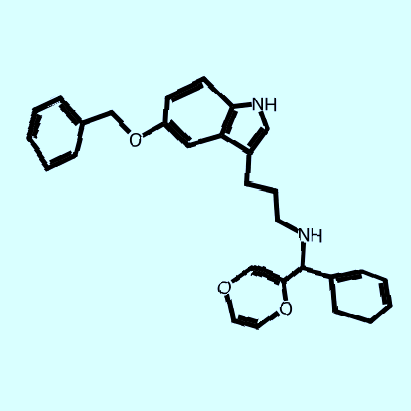 C1=CCCC(C(NCCCc2c[nH]c3ccc(OCc4ccccc4)cc23)C2=COC=CO2)=C1